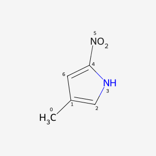 Cc1c[nH]c([N+](=O)[O-])c1